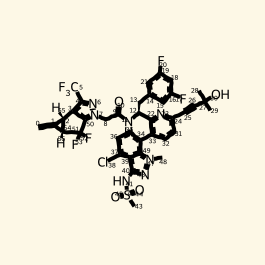 C=C1[C@@H]2c3c(C(F)(F)F)nn(CC(=O)N[C@@H](Cc4cc(F)cc(F)c4)c4nc(C#CC(C)(C)O)ccc4-c4ccc(Cl)c5c(NS(C)(=O)=O)nn(C)c45)c3C(F)(F)[C@H]12